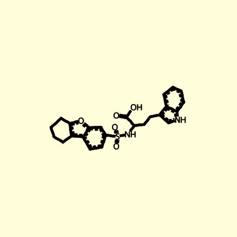 O=C(O)C(CCc1c[nH]c2ccccc12)NS(=O)(=O)c1ccc2c3c(oc2c1)CCCC3